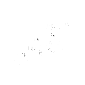 CN(C)CCNc1ccc2c(=O)c(C(=O)NCCN3CCCC3)c3n(C)c4ccccc4n3c2n1